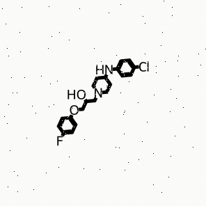 OC(COc1ccc(F)cc1)CN1CCC(Nc2ccc(Cl)cc2)CC1